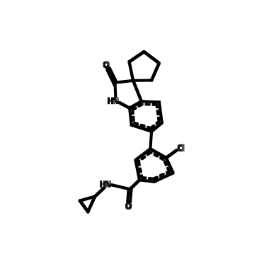 O=C(NC1CC1)c1ccc(Cl)c(-c2ccc3c(c2)NC(=O)C32CCCC2)c1